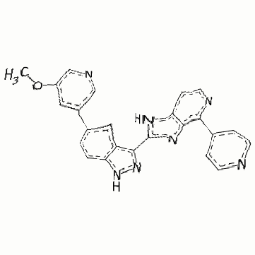 COc1cncc(-c2ccc3[nH]nc(-c4nc5c(-c6ccncc6)nccc5[nH]4)c3c2)c1